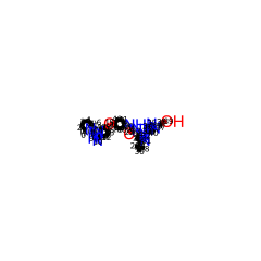 C[C@@H]1CCC[C@H](C)N1c1nnc2ccc(OC3CCC(NC(=O)Nc4cc(C(C)(C)C)nn4-c4cnn(CCO)c4)CC3)cn12